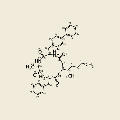 CCCC[C@H](C)[C@@H]1CC(=O)N[C@@H](Cc2ccc(-c3ccccc3)cc2)C(=O)N[C@@H](C)C(=O)N[C@H](Cc2ccccc2)C(=O)O1